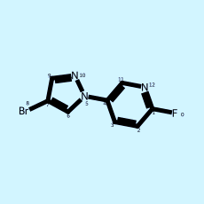 Fc1ccc(-n2cc(Br)cn2)cn1